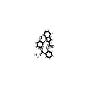 NC(=O)c1ccccc1NC(=O)c1cc2ccccc2n1-c1ncccc1Cl